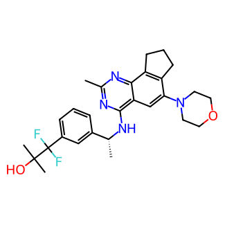 Cc1nc(N[C@H](C)c2cccc(C(F)(F)C(C)(C)O)c2)c2cc(N3CCOCC3)c3c(c2n1)CCC3